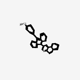 COc1ccc(-c2c3ccccc3c(-c3cnc4ccc5ccccc5c4c3)c3ccccc23)cc1